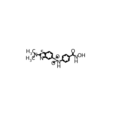 CN(C)c1nc2cc(S(=O)(=O)Nc3ccc(C(=O)NO)cc3)ccc2s1